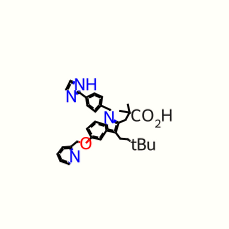 CC(C)(C)CCc1c(CC(C)(C)C(=O)O)n(Cc2ccc(-c3ncc[nH]3)cc2)c2ccc(OCc3ccccn3)cc12